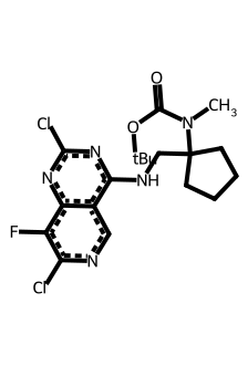 CN(C(=O)OC(C)(C)C)C1(CNc2nc(Cl)nc3c(F)c(Cl)ncc23)CCCC1